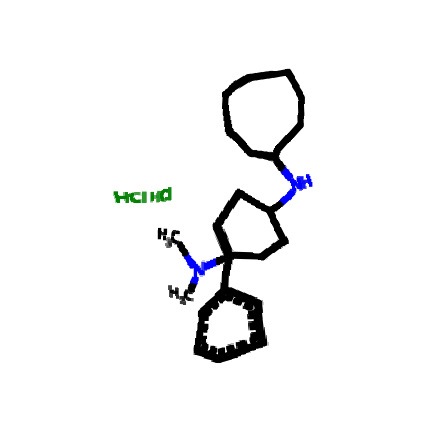 CN(C)C1(c2ccccc2)CCC(NC2CCCCCCC2)CC1.Cl.Cl